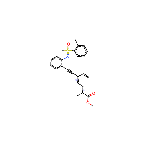 C=C/C(C#Cc1ccccc1N=S(C)(=O)c1ccccc1C)=C\C=C(/C)C(=O)OC